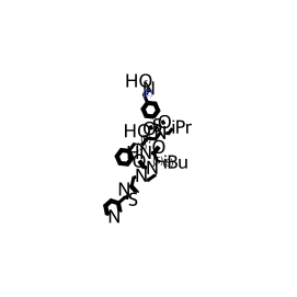 CC[C@H](C)[C@@H](C(=O)N[C@@H](Cc1ccccc1)[C@H](O)CN(CC(C)C)S(=O)(=O)c1ccc(/C=N/O)cc1)N1CCN(Cc2csc(-c3cccnc3)n2)C1=O